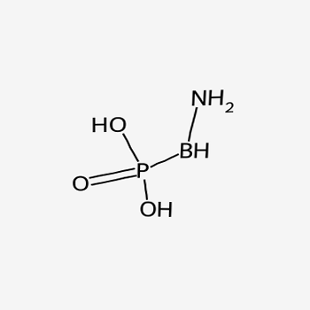 NBP(=O)(O)O